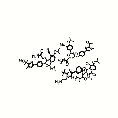 CC(=O)c1nc(-c2ccc(C[C@@H](CCC(N)=O)NC(=O)c3ccc(OC(C)C)c(C#N)c3)cc2)cn1C.CC(C)Oc1ccc(C(N)=O)c([C@@H](CNC(=O)[C@@H](C)N)Cc2ccc(-c3cn(CCN)c(C(C)(C)C)n3)cc2)c1Cl.CC(C)Oc1ccc(C(N)=O)c([C@H](CCC(N)=O)Cc2ccc(-c3cn(C)c(C(C)(C)O)n3)cc2)c1C#N